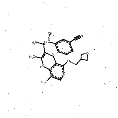 COc1cc(C#N)ccc1[C@H]1C(C(N)=O)=C(C)Nc2c(C)cnc(OCC3COC3)c21